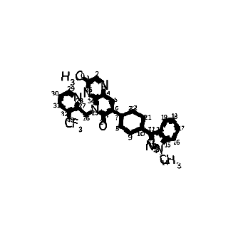 Cc1cnc2cc(C3CCC(c4nn(C)c5ccccc45)CC3)c(=O)n(Cc3ncccc3C(F)(F)F)c2n1